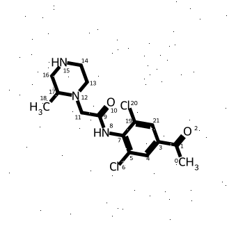 CC(=O)c1cc(Cl)c(NC(=O)CN2CCNCC2C)c(Cl)c1